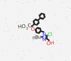 CCCCc1nc(CO)c(Cl)n1Cc1ccc(OC(C(=O)O)c2ccc(-c3ccccc3)cc2)cc1